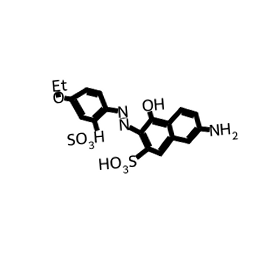 CCOc1ccc(N=Nc2c(S(=O)(=O)O)cc3cc(N)ccc3c2O)c(S(=O)(=O)O)c1